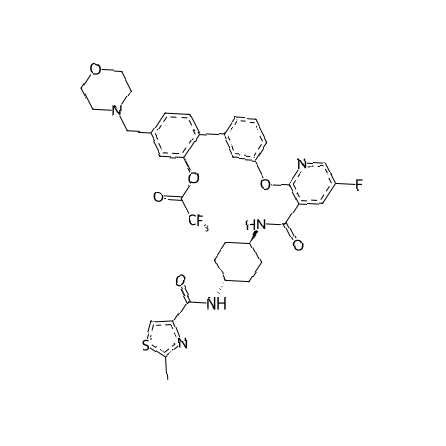 Cc1nc(C(=O)N[C@H]2CC[C@H](NC(=O)c3cc(F)cnc3Oc3cccc(-c4ccc(CN5CCOCC5)cc4OC(=O)C(F)(F)F)c3)CC2)cs1